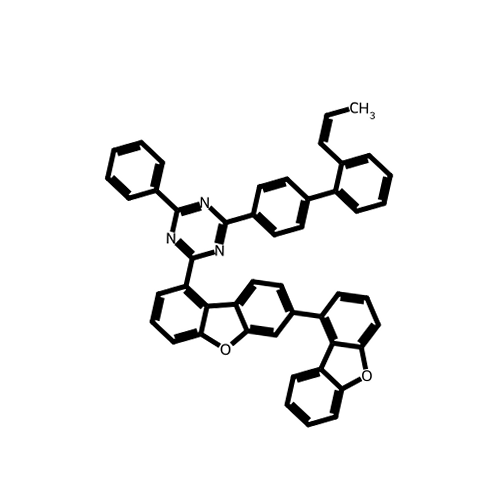 C/C=C\c1ccccc1-c1ccc(-c2nc(-c3ccccc3)nc(-c3cccc4oc5cc(-c6cccc7oc8ccccc8c67)ccc5c34)n2)cc1